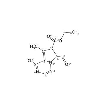 CCOC(=O)C1C(C)=C2C(Cl)=NC=NN2C1C=O